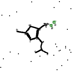 CC1=CC(CC(C)C)=[C]([Zr+2])C1.[Cl-].[Cl-]